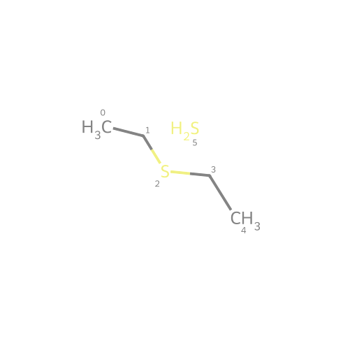 CCSCC.S